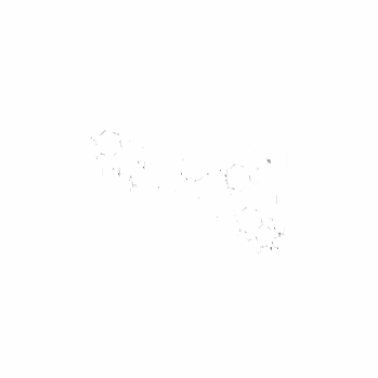 Cc1cc(CC(CC(=O)N2CCC(N3Cc4ccccc4NC3=O)CC2)c2ccc(CO)cn2)cc2cn[nH]c12